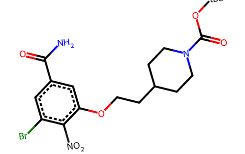 CC(C)(C)OC(=O)N1CCC(CCOc2cc(C(N)=O)cc(Br)c2[N+](=O)[O-])CC1